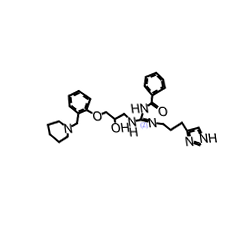 O=C(N/C(=N\CCCc1c[nH]cn1)NCC(O)COc1ccccc1CN1CCCCC1)c1ccccc1